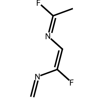 C=N/C(F)=C\N=C(/C)F